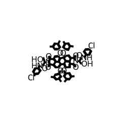 Cc1cc(C)cc(Oc2cc3c4c(cc(Oc5cc(C)cc(C)c5)c5c6c(Oc7cc(C)cc(C)c7)cc7c8c(cc(Oc9cc(C)cc(C)c9)c(c2c45)c86)C(=O)N(C(CO)C(=O)Nc2ccc(Cl)cc2)C7=O)C(=O)N(C(CO)C(=O)Nc2ccc(Cl)cc2)C3=O)c1